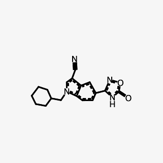 N#Cc1cn(CC2CCCCC2)c2ccc(-c3noc(=O)[nH]3)cc12